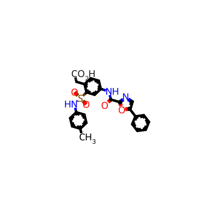 Cc1ccc(NS(=O)(=O)c2cc(NC(=O)c3ncc(-c4ccccc4)o3)ccc2CC(=O)O)cc1